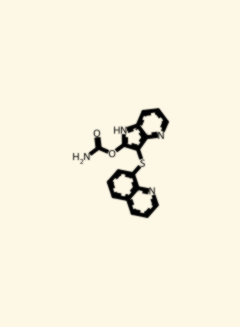 NC(=O)Oc1[nH]c2cccnc2c1Sc1cccc2cccnc12